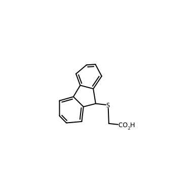 O=C(O)CSC1c2ccccc2-c2ccccc21